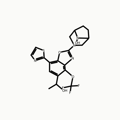 CC(O)c1cc(-c2nccs2)c2oc(N3CC4CCC(C3)N4O)nc2c1OC(F)(F)F